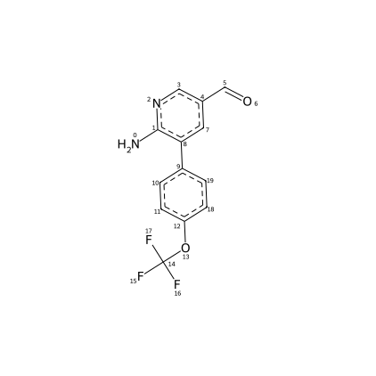 Nc1ncc(C=O)cc1-c1ccc(OC(F)(F)F)cc1